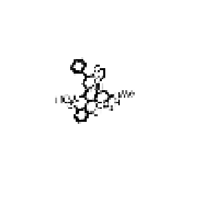 COC(=O)CC1=C(C(=O)O)C(c2c(Cl)cccc2Cl)C(C(=O)O)=C(CC(c2ccccc2)C2OCCO2)N1